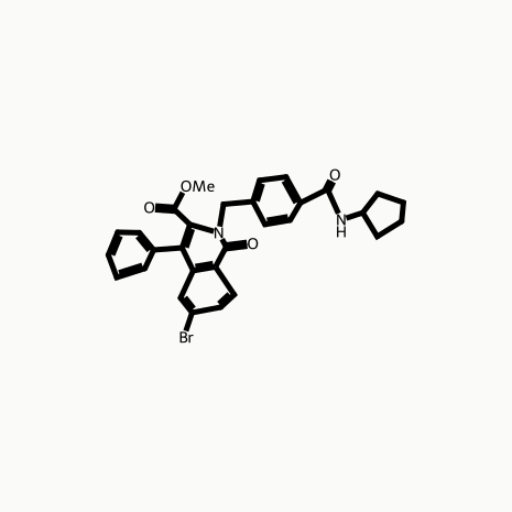 COC(=O)c1c(-c2ccccc2)c2cc(Br)ccc2c(=O)n1Cc1ccc(C(=O)NC2CCCC2)cc1